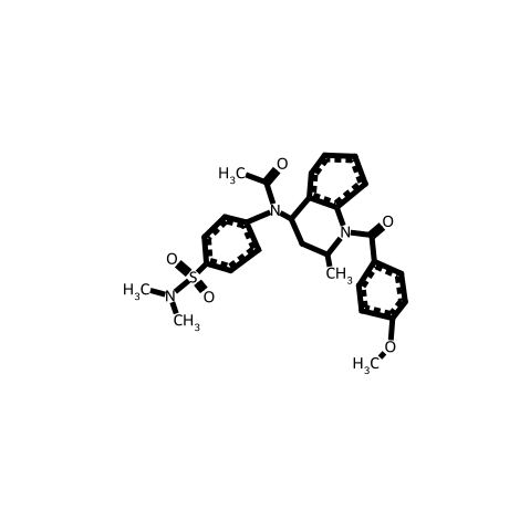 COc1ccc(C(=O)N2c3ccccc3C(N(C(C)=O)c3ccc(S(=O)(=O)N(C)C)cc3)CC2C)cc1